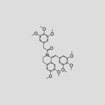 COc1cc2c(cc1OC)C(=Cc1cc(OC)c(OC)c(OC)c1)N(C(=O)Cc1cc(OC)c(OC)c(OC)c1)CC2